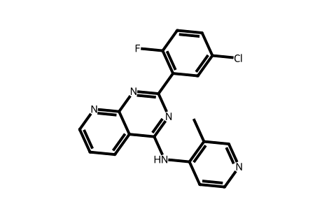 Cc1cnccc1Nc1nc(-c2cc(Cl)ccc2F)nc2ncccc12